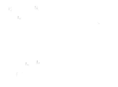 O=C1CCC(c2cnc3c(c2)c(-c2cnn(C(F)(F)F)c2)cn3S)CC1